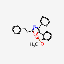 CS(=O)(=O)c1ccccc1-c1oc(CCc2ccccc2)nc1-c1ccccc1